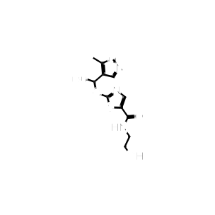 CCC(C)C(Oc1ncc(C(=O)NCCO)s1)c1cnoc1C